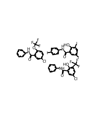 O=C(Nc1ccc(I)cc1)c1cc(I)cc(I)c1O.O=C(Nc1ccccc1)c1cc(Cl)cc(C(F)(F)F)c1O.O=C(Nc1ccccc1)c1cc(Cl)ccc1OC(F)(F)F